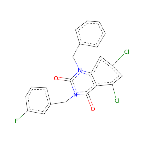 O=c1c2c(Cl)cc(Cl)cc2n(Cc2ccccc2)c(=O)n1Cc1cccc(F)c1